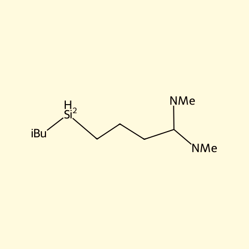 CCC(C)[SiH2]CCCC(NC)NC